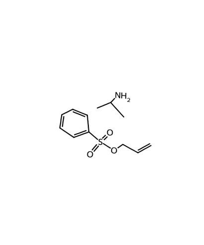 C=CCOS(=O)(=O)c1ccccc1.CC(C)N